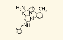 Cc1cccc(Cl)c1-c1ncc2c(N)nc3cc(NCc4cccs4)ccc3n12